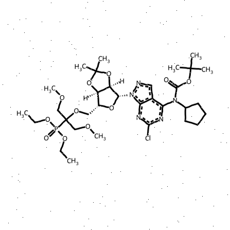 CCOP(=O)(OCC)C(COC)(COC)OC[C@H]1O[C@@H](n2ncc3c(N(C(=O)OC(C)(C)C)C4CCCC4)nc(Cl)nc32)[C@@H]2OC(C)(C)O[C@@H]21